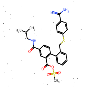 CC(C)CNC(=O)c1ccc(-c2ccccc2CSc2ccc(C(=N)N)cc2)c(C(=O)OS(C)(=O)=O)c1